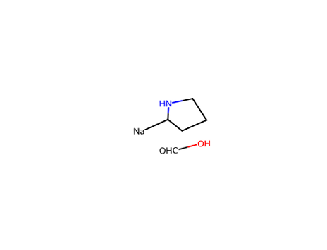 O=CO.[Na][CH]1CCCN1